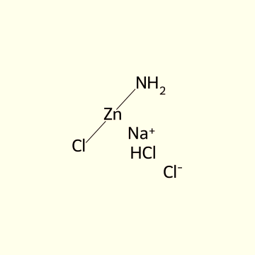 Cl.[Cl-].[NH2][Zn][Cl].[Na+]